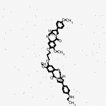 CCNc1ccc(C2=CN3C(=O)c4cc(OC)c(OCCCOc5cc6c(cc5OC)C(=O)N5C=C(c7ccc(OC)cc7)C[C@H]5C=N6)cc4N=C[C@@H]3C2)cc1